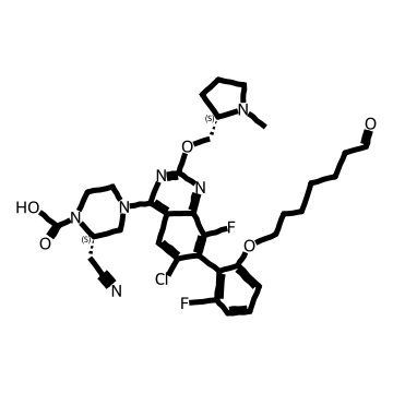 CN1CCC[C@H]1COc1nc(N2CCN(C(=O)O)[C@@H](CC#N)C2)c2cc(Cl)c(-c3c(F)cccc3OCCCCCCC=O)c(F)c2n1